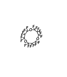 FC1(F)OC(F)(F)C(F)(F)C(F)(F)OC(F)(F)C(F)(F)C(F)(F)OC(F)(F)C1(F)F